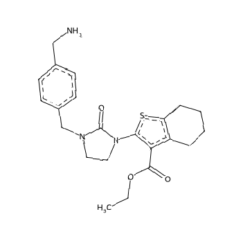 CCOC(=O)c1c(N2CCN(Cc3ccc(CN)cc3)C2=O)sc2c1CCCC2